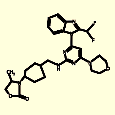 CC1COC(=O)N1C1CCC(CNc2nc(N3CCOCC3)cc(-n3c(C(F)F)nc4ccccc43)n2)CC1